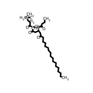 CCCCCCCCCCCCCCCCCC(=O)CC(CC(=O)P(O)C(=O)CC[N+](C)(C)C)NC(=O)CCC